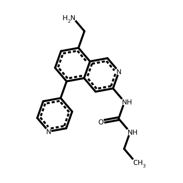 CCNC(=O)Nc1cc2c(-c3ccncc3)ccc(CN)c2cn1